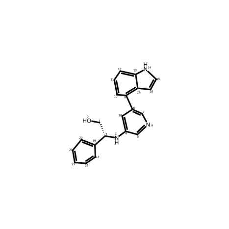 OC[C@H](Nc1cncc(-c2cccc3[nH]ccc23)c1)c1ccccc1